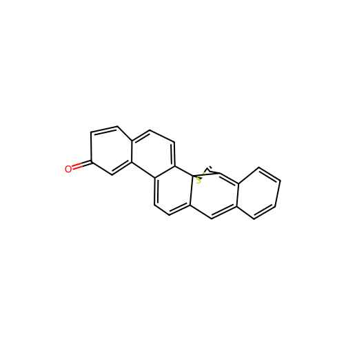 O=C1C=Cc2ccc3c(c2=C1)=CC=C1C=c2ccccc2=C2C=CSCC123